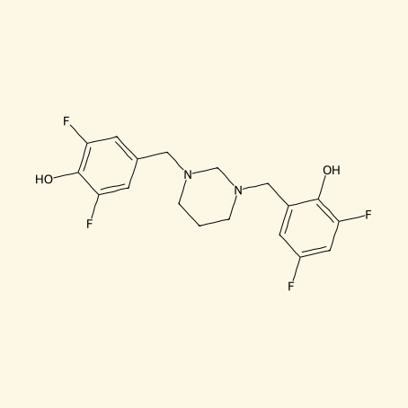 Oc1c(F)cc(CN2CCCN(Cc3cc(F)cc(F)c3O)C2)cc1F